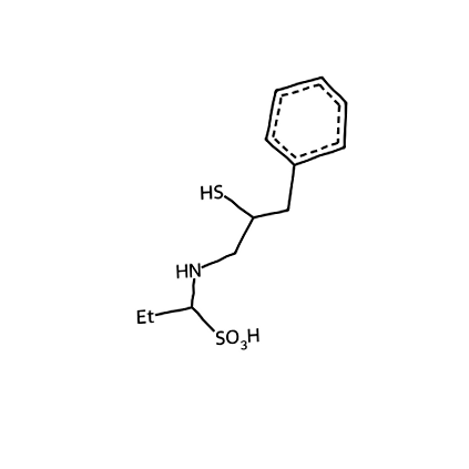 CCC(NCC(S)Cc1ccccc1)S(=O)(=O)O